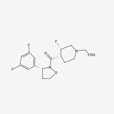 O=CCN1CC[C@H](C(=O)N2OCC[C@@H]2c2cc(F)cc(F)c2)[C@H](F)C1